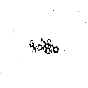 N#Cc1c(N2CCN(C(=O)c3ccsc3)CC2)c2cccnc2n(Cc2ccccc2)c1=O